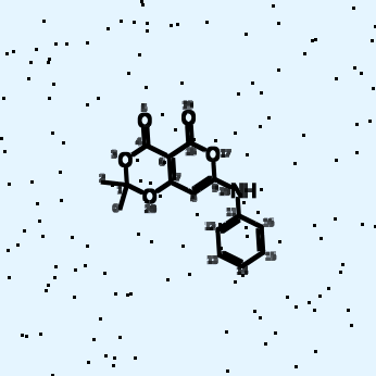 CC1(C)OC(=O)c2c(cc(Nc3ccccc3)oc2=O)O1